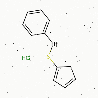 C1=CCC([S][Hf][c]2ccccc2)=C1.Cl